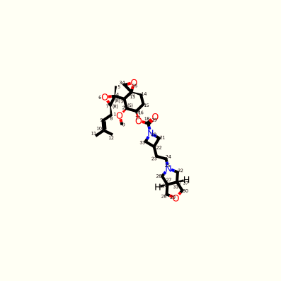 CO[C@H]1C([C@@]2(C)O[C@@H]2CC=C(C)C)[C@]2(CC[C@H]1OC(=O)N1CC(CCN3C[C@H]4COC[C@H]4C3)C1)CO2